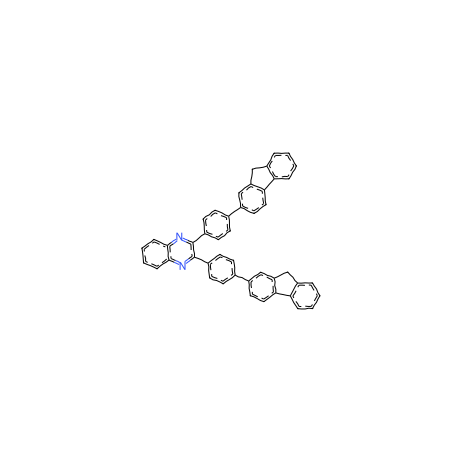 c1ccc2c(c1)Cc1cc(-c3ccc(-c4nc5ccccc5nc4-c4ccc(-c5ccc6c(c5)Cc5ccccc5-6)cc4)cc3)ccc1-2